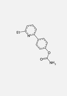 CCc1cccc(-c2ccc(OC(N)=O)cc2)n1